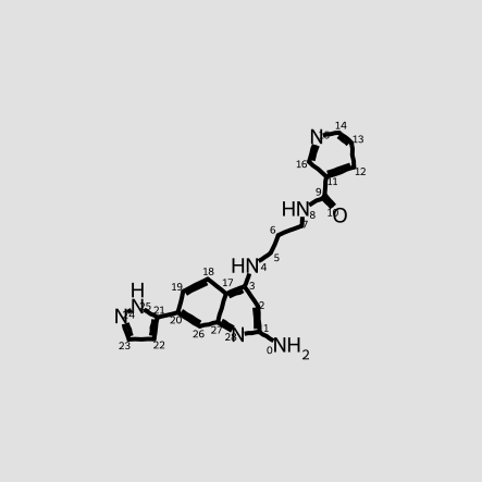 Nc1cc(NCCCNC(=O)c2cccnc2)c2ccc(-c3ccn[nH]3)cc2n1